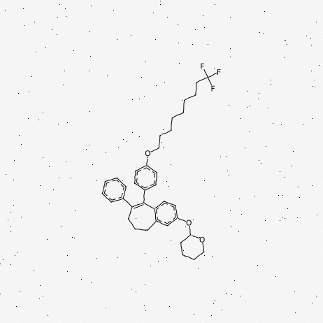 FC(F)(F)CC[CH]CCCCCOc1ccc(C2=C(c3ccccc3)CCCc3cc(OC4CCCCO4)ccc32)cc1